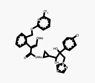 CC(C1CC1)C(O)(Cn1cncn1)c1ccc(Cl)cc1.CO/C=C(/C(=O)OC)c1ccccc1COc1cccc(C(F)(F)F)n1